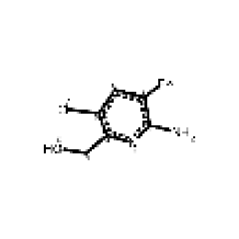 Nc1nc(CO)c(Cl)cc1F